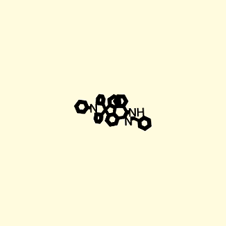 c1ccc(-c2nc(-c3cccc4c3-c3ccccc3C43c4ccccc4N(c4ccccc4)c4ccccc43)c(-c3ccccc3)[nH]2)cc1